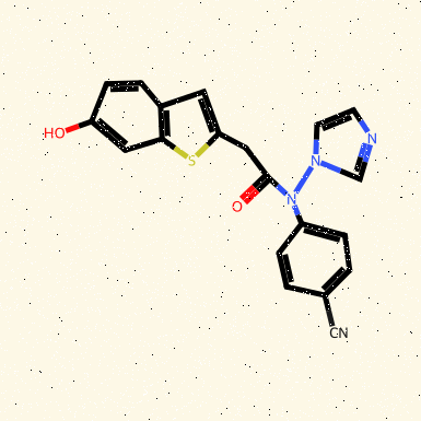 N#Cc1ccc(N(C(=O)Cc2cc3ccc(O)cc3s2)n2ccnc2)cc1